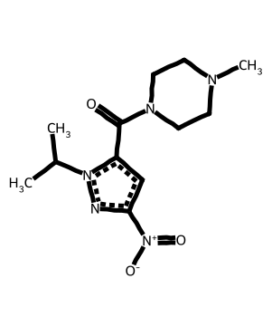 CC(C)n1nc([N+](=O)[O-])cc1C(=O)N1CCN(C)CC1